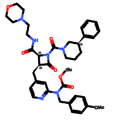 COc1ccc(CN(C(=O)OC(C)(C)C)c2cc(C[C@H]3C(=O)N(C(=O)N4CCC[C@@H](c5ccccc5)C4)[C@@H]3C(=O)NCCN3CCOCC3)ccn2)cc1